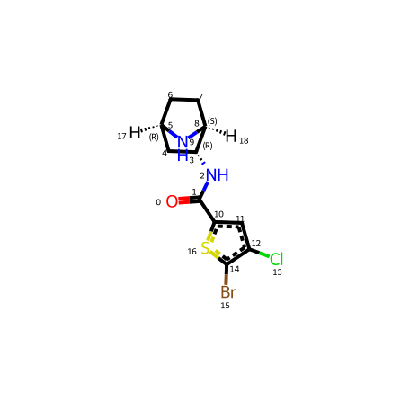 O=C(N[C@@H]1C[C@H]2CC[C@@H]1N2)c1cc(Cl)c(Br)s1